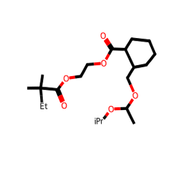 CCC(C)(C)C(=O)OCCOC(=O)C1CCCCC1COC(C)OC(C)C